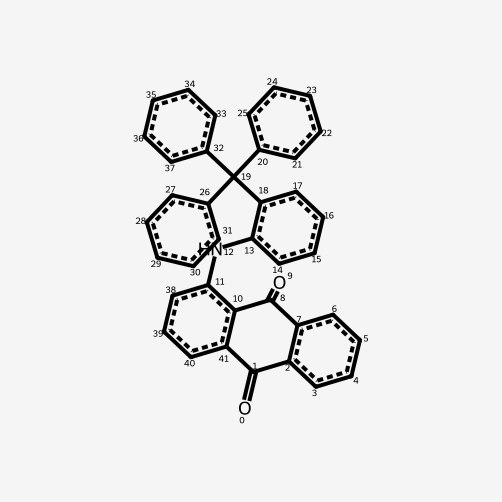 O=C1c2ccccc2C(=O)c2c(Nc3ccccc3C(c3ccccc3)(c3ccccc3)c3ccccc3)cccc21